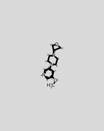 COc1cncc(N2CCN(C3COC3)CC2)c1